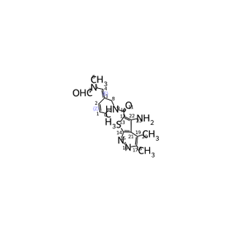 C/C=C\C(=C/N(C)C=O)CNC(=O)c1sc2nnc(C)c(C)c2c1N